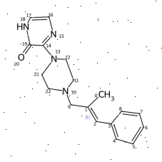 C/C(=C\c1ccccc1)CN1CCN(c2ncc[nH]c2=O)CC1